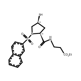 CCOC(=O)CCNC(=O)[C@@H]1C[C@H](S)CN1S(=O)(=O)c1ccc2ccccc2c1